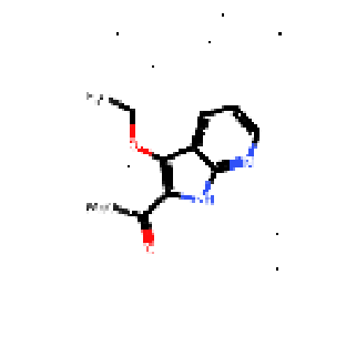 COC(=O)c1[nH]c2ncccc2c1OCC(F)(F)F